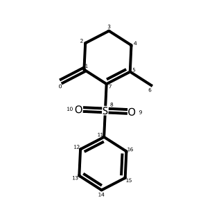 C=C1CCCC(C)=C1S(=O)(=O)c1ccccc1